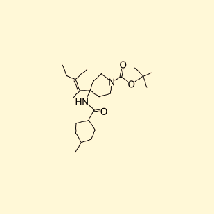 CC/C(C)=C(\C)C1(NC(=O)C2CCC(C)CC2)CCN(C(=O)OC(C)(C)C)CC1